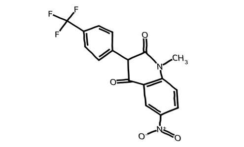 CN1C(=O)C(c2ccc(C(F)(F)F)cc2)C(=O)c2cc([N+](=O)[O-])ccc21